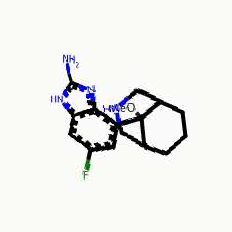 COC1(c2cc(F)cc3[nH]c(N)nc23)C2CCCC1CNC2